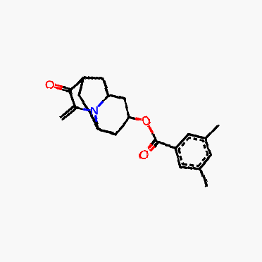 C=C1C(=O)C2CC3CC(OC(=O)c4cc(C)cc(C)c4)CC(C2)N13